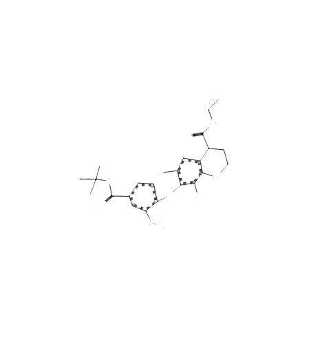 CCOC(=O)C1CCOc2c1cc(Cl)c(Oc1ccc(C(=O)OC(C)(C)C)cc1N)c2Cl